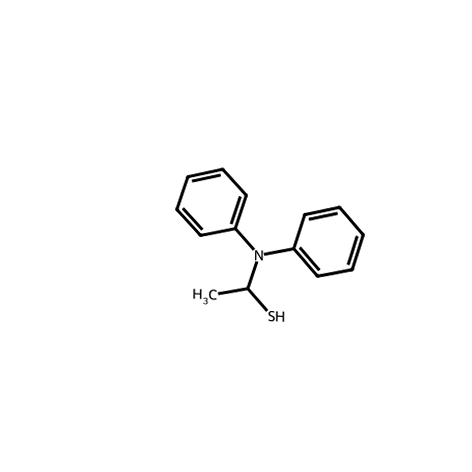 CC(S)N(c1ccccc1)c1ccccc1